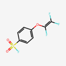 O=S(=O)(F)c1ccc(OC(F)=C(F)F)cc1